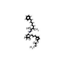 COC(=O)Oc1ccc(CCCN2C(=O)C(F)(F)C[C@@H]2/C=C/[C@@H](O)[C@H](C)CCCCCc2ccccc2)s1